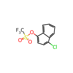 O=S(=O)(Oc1ccc(Cl)c2ccccc12)C(F)(F)F